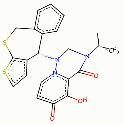 C[C@@H](N1CN([C@H]2c3ccccc3CSc3sccc32)n2ccc(=O)c(O)c2C1=O)C(F)(F)F